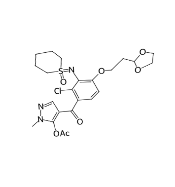 CC(=O)Oc1c(C(=O)c2ccc(OCCC3OCCO3)c(N=S3(=O)CCCCC3)c2Cl)cnn1C